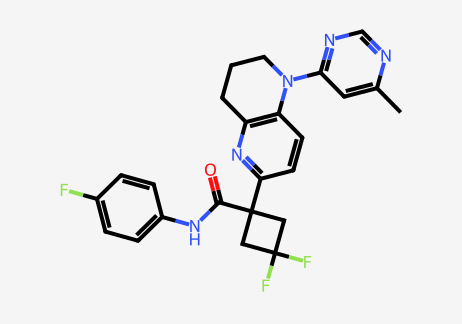 Cc1cc(N2CCCc3nc(C4(C(=O)Nc5ccc(F)cc5)CC(F)(F)C4)ccc32)ncn1